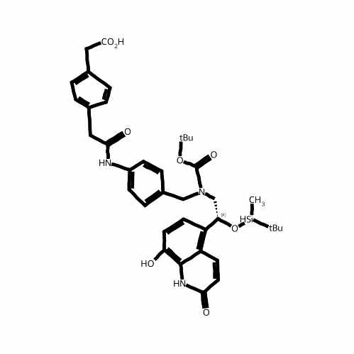 C[SiH](O[C@@H](CN(Cc1ccc(NC(=O)Cc2ccc(CC(=O)O)cc2)cc1)C(=O)OC(C)(C)C)c1ccc(O)c2[nH]c(=O)ccc12)C(C)(C)C